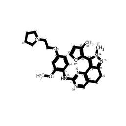 COc1cc(OCCN2CCCC2)ccc1Nc1ncc2c(n1)-c1c(nn(C)c1-c1occc1C)CC2